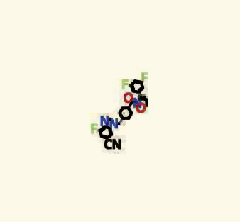 N#Cc1cc(F)c2ncn(C[C@H]3CC[C@H](C(=O)N4OCC[C@H]4c4cc(F)cc(F)c4)CC3)c2c1